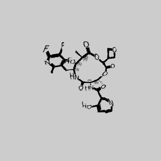 Cc1nc(F)c(F)c(F)c1C[C@@H]1NC(=O)[C@@H](NC(=O)c2ncccc2O)[C@@H](C)OC(=O)C(C2COC2)OC(=O)[C@H](C)[C@@H]1O